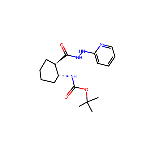 CC(C)(C)OC(=O)N[C@@H]1CCCC[C@H]1C(=O)NNc1ccccn1